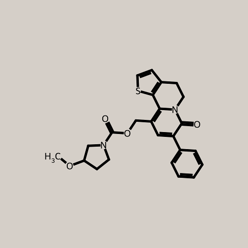 COC1CCN(C(=O)OCc2cc(-c3ccccc3)c(=O)n3c2-c2sccc2CC3)C1